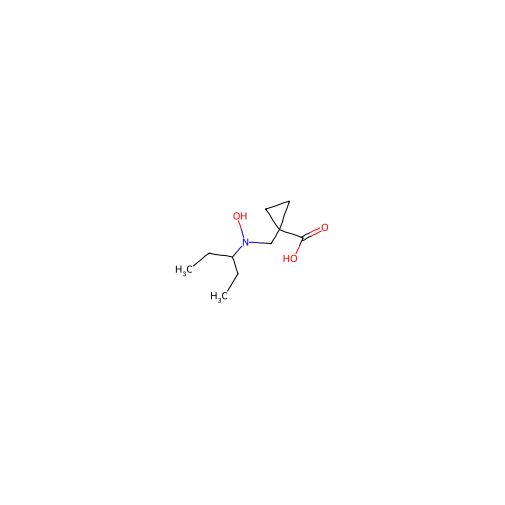 CCC(CC)N(O)CC1(C(=O)O)CC1